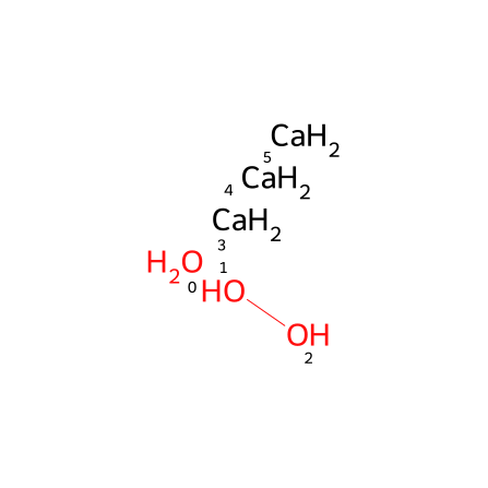 O.OO.[CaH2].[CaH2].[CaH2]